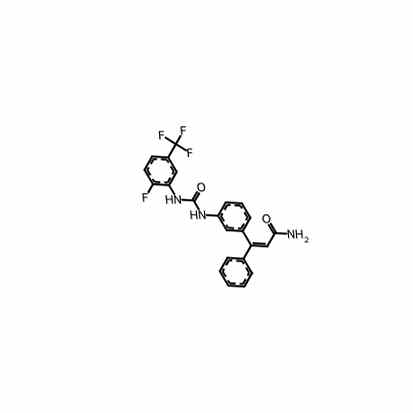 NC(=O)C=C(c1ccccc1)c1cccc(NC(=O)Nc2cc(C(F)(F)F)ccc2F)c1